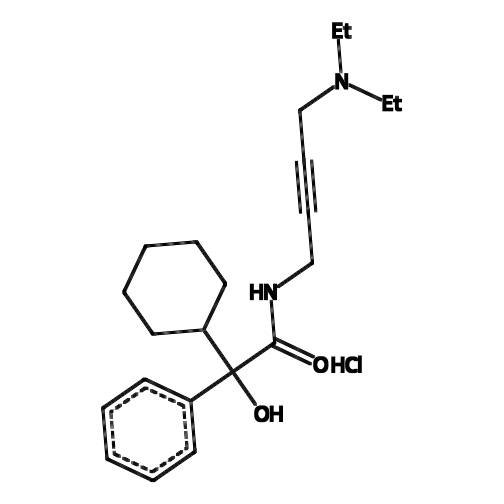 CCN(CC)CC#CCNC(=O)C(O)(c1ccccc1)C1CCCCC1.Cl